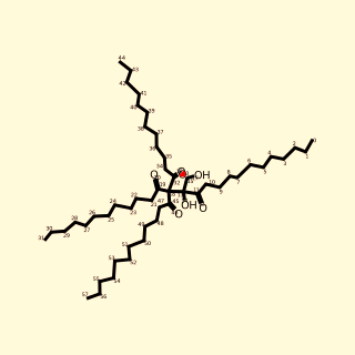 CCCCCCCCCCCC(=O)C(O)(C(=O)O)C(C(=O)CCCCCCCCCCC)(C(=O)CCCCCCCCCCC)C(=O)CCCCCCCCCCC